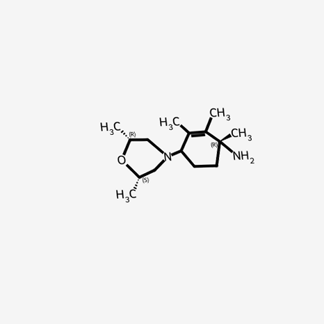 CC1=C(C)[C@](C)(N)CCC1N1C[C@@H](C)O[C@@H](C)C1